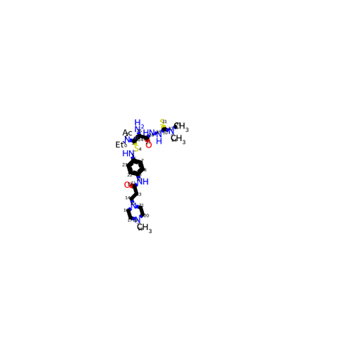 CCN(C(C)=O)/C(SNc1ccc(NC(=O)CCN2CCN(C)CC2)cc1)=C(\N)C(=O)NNC(=S)N(C)C